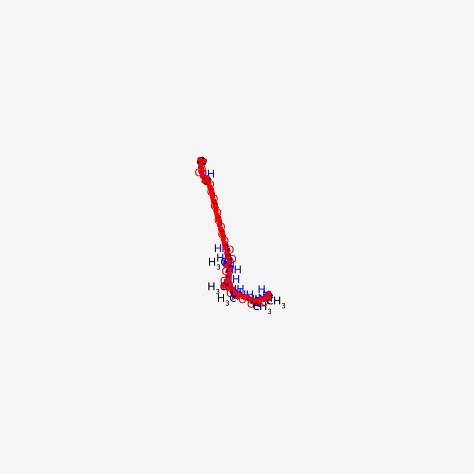 Cn1cc(NC(=O)c2nc(NC(=O)CCNC(=O)c3cc(NC(=O)c4nccn4C)cn3C)cn2C)cc1C(=O)NCCC(=O)Nc1cn(C)c(C(=O)NCCC(=O)NCCOCCOCCOCCOCCOCCOCCOCCOCCOc2ccc(CNC(=O)OCc3ccccc3)cc2)n1